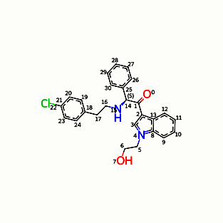 O=C(c1cn(CCO)c2ccccc12)[C@@H](NCCc1ccc(Cl)cc1)c1ccccc1